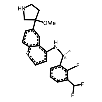 COC1(c2ccc3nccc(N[C@H](C)c4cccc(C(F)F)c4F)c3c2)CCNC1